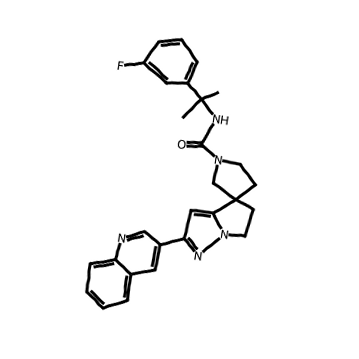 CC(C)(NC(=O)N1CCC2(CCn3nc(-c4cnc5ccccc5c4)cc32)C1)c1cccc(F)c1